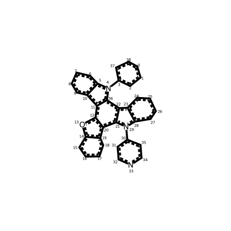 c1ccc(-n2c3ccccc3c3c4oc5ccccc5c4c4c(c5ccccc5n4-c4ccncc4)c32)cc1